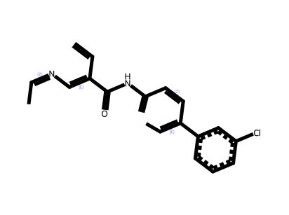 C=C/C(=C\N=C/C)C(=O)NC(=C)/C=C\C(=C/C)c1cccc(Cl)c1